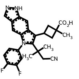 CC1(C(=O)O)CC(c2c(C(C)(C)CC#N)n(-c3ccc(F)c(F)c3)c3cc4cn[nH]c4cc23)C1